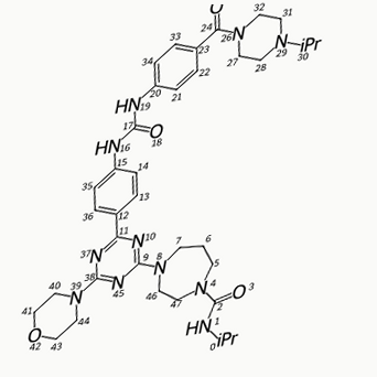 CC(C)NC(=O)N1CCCN(c2nc(-c3ccc(NC(=O)Nc4ccc(C(=O)N5CCN(C(C)C)CC5)cc4)cc3)nc(N3CCOCC3)n2)CC1